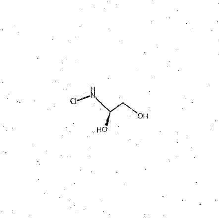 OC[C@@H](O)NCl